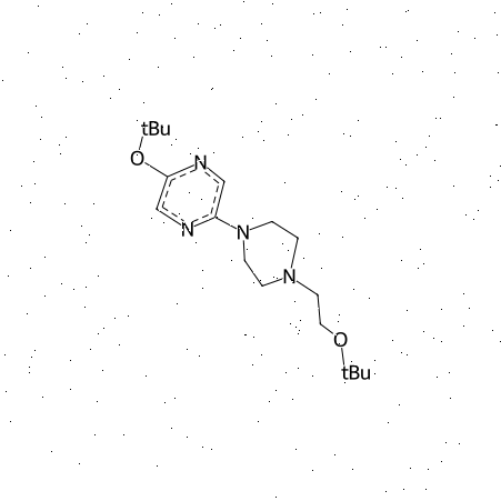 CC(C)(C)OCCN1CCN(c2cnc(OC(C)(C)C)cn2)CC1